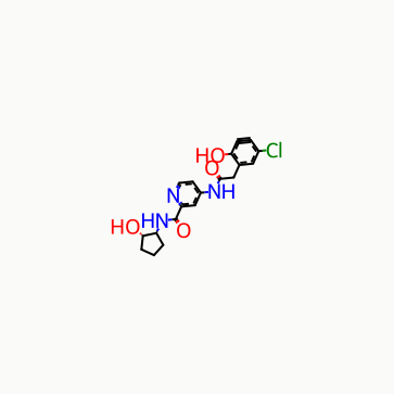 O=C(Cc1cc(Cl)c#cc1O)Nc1ccnc(C(=O)N[C@H]2CCC[C@@H]2O)c1